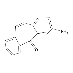 Nc1ccc2ccc3ccccc3c(=O)c2c1